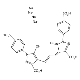 O=C(O)C1=NN(c2ccc(S(=O)(=O)O)cc2)C(=O)C1=CC=Cc1c(C(=O)O)nn(-c2ccc(S(=O)(=O)O)cc2)c1O.[Na].[Na].[Na].[Na]